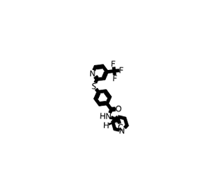 O=C(N[C@H]1CN2CCC1CC2)c1ccc(Sc2cc(C(F)(F)F)ccn2)cc1